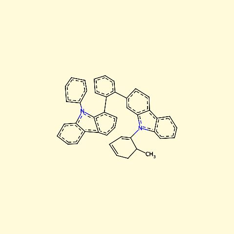 CC1CC=CC=C1n1c2ccccc2c2ccc(-c3ccccc3-c3cccc4c5ccccc5n(-c5ccccc5)c34)cc21